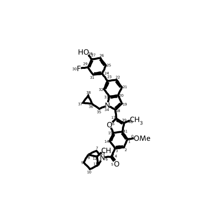 COc1cc(C(=O)N2CC3CCC2C3C)cc2oc(-c3cc4ccc(-c5ccc(O)c(F)c5)cc4n3CC3CC3)c(C)c12